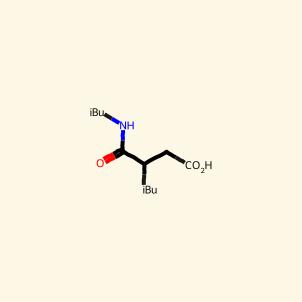 CCC(C)NC(=O)C(CC(=O)O)C(C)CC